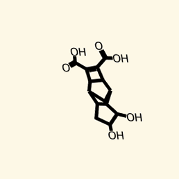 O=C(O)C1=C(C(=O)O)C2C3CC(C4CC(O)C(O)C43)C12